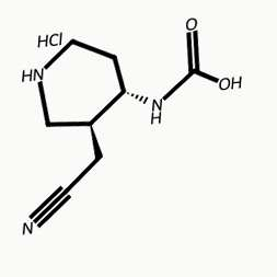 Cl.N#CC[C@H]1CNCC[C@@H]1NC(=O)O